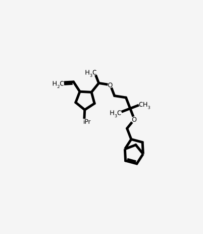 C=CC1CC(C(C)C)CC1C(C)OCCC(C)(C)OCC1CC2C=CC1C2